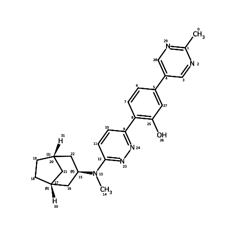 Cc1ncc(-c2ccc(-c3ccc(N(C)[C@H]4C[C@@H]5CC[C@@H](C5)C4)nn3)c(O)c2)cn1